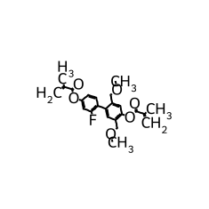 C=C(C)C(=O)Oc1ccc(-c2cc(COC)c(OC(=O)C(=C)C)cc2COC)c(F)c1